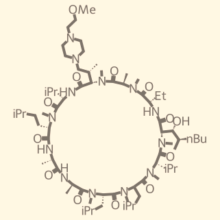 CCCC[C@@H](C)[C@@H](O)[C@H]1C(=O)N[C@@H](CC)C(=O)N(C)[C@H](C)C(=O)N(C)[C@@H]([C@@H](C)CN2CCN(CCOC)CC2)C(=O)N[C@@H](C(C)C)C(=O)N(C)[C@@H](CCC(C)C)C(=O)N[C@@H](C)C(=O)N[C@H](C)C(=O)N(C)[C@@H](CC(C)C)C(=O)N(C)C(CC(C)C)C(=O)N(C)[C@@H](C(C)C)C(=O)N1C